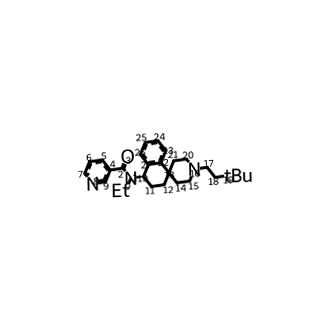 CCN(C(=O)c1cccnc1)[C@@H]1CCC2(CCN(CCC(C)(C)C)CC2)c2ccccc21